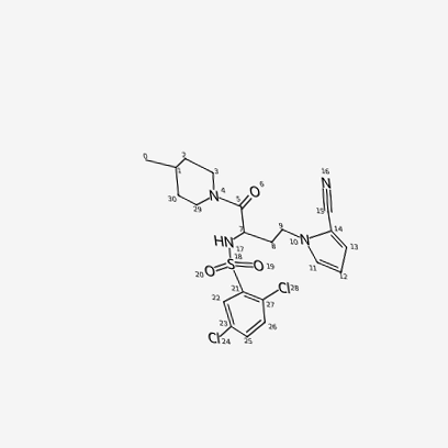 CC1CCN(C(=O)C(CCn2cccc2C#N)NS(=O)(=O)c2cc(Cl)ccc2Cl)CC1